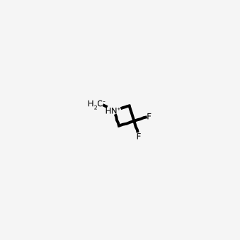 [CH2-][NH+]1CC(F)(F)C1